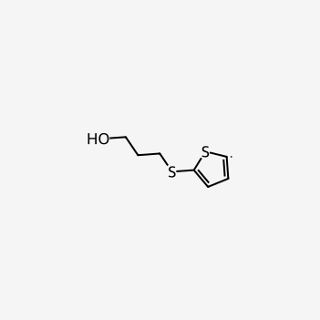 OCCCSc1cc[c]s1